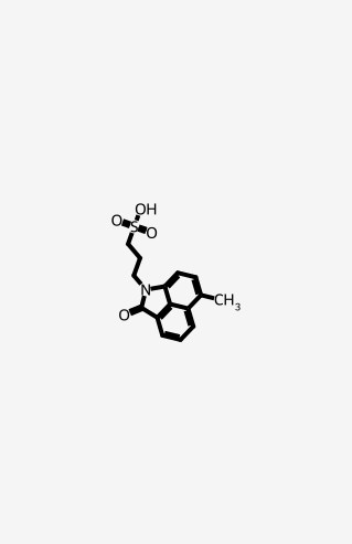 Cc1ccc2c3c(cccc13)C(=O)N2CCCS(=O)(=O)O